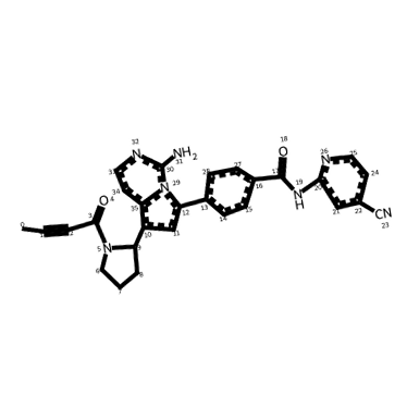 CC#CC(=O)N1CCCC1c1cc(-c2ccc(C(=O)Nc3cc(C#N)ccn3)cc2)n2c(N)nccc12